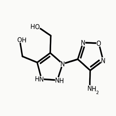 Nc1nonc1N1NNC(CO)=C1CO